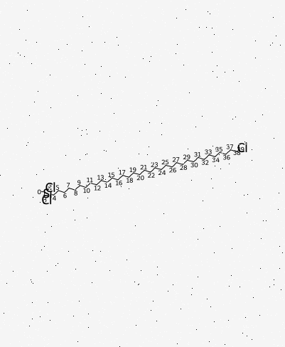 C[Si](Cl)(Cl)CCCCCCCCCCCCCCCCCCCCCCCCCCCCCCCCCCCCl